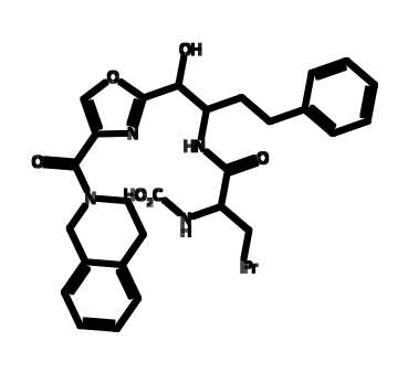 CC(C)CC(NC(=O)O)C(=O)NC(CCc1ccccc1)C(O)c1nc(C(=O)N2CCc3ccccc3C2)co1